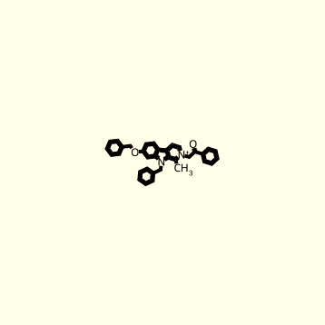 Cc1c2c(cc[n+]1CC(=O)c1ccccc1)c1ccc(OCc3ccccc3)cc1n2Cc1ccccc1